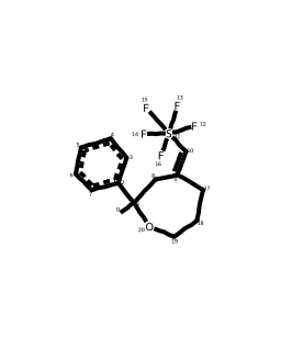 CC1(c2ccccc2)C/C(=C\S(F)(F)(F)(F)F)CCCO1